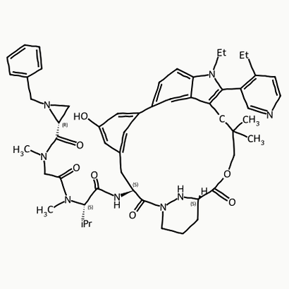 CCc1ccncc1-c1c2c3cc(ccc3n1CC)-c1cc(O)cc(c1)C[C@H](NC(=O)[C@H](C(C)C)N(C)C(=O)CN(C)C(=O)[C@H]1CN1Cc1ccccc1)C(=O)N1CCC[C@H](N1)C(=O)OCC(C)(C)C2